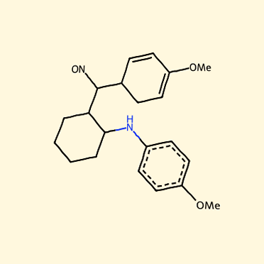 COC1=CCC(C(N=O)C2CCCCC2Nc2ccc(OC)cc2)C=C1